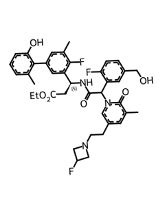 CCOC(=O)C[C@H](NC(=O)C(c1cc(CO)ccc1F)n1cc(CCN2CC(F)C2)cc(C)c1=O)c1cc(-c2c(C)cccc2O)cc(C)c1F